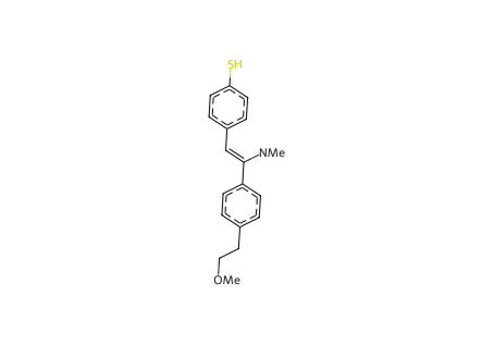 CN/C(=C\c1ccc(S)cc1)c1ccc(CCOC)cc1